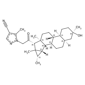 Cc1c(C#N)cnn1CC(=O)[C@H]1C2(C)[C@H]([C@H]3[C@@H]4CC[C@@H]5C[C@](C)(O)CC[C@@H]5[C@H]4CC[C@@]31C)[C@@H]2C